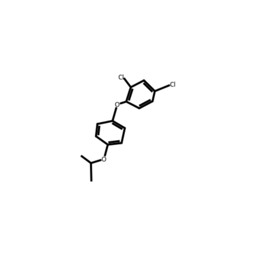 CC(C)Oc1ccc(Oc2ccc(Cl)cc2Cl)cc1